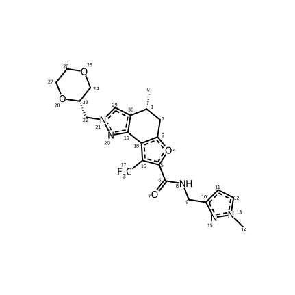 C[C@@H]1Cc2oc(C(=O)NCc3ccn(C)n3)c(C(F)(F)F)c2-c2nn(C[C@H]3COCCO3)cc21